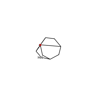 C1CC2CC3CC1CC(C3)N2